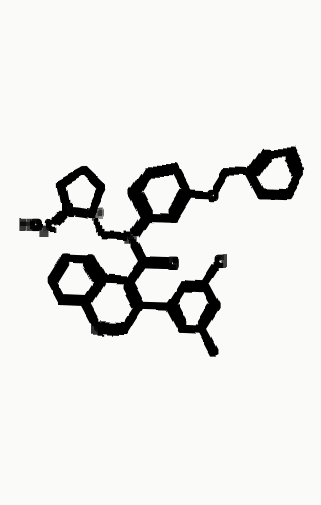 Cc1cc(Cl)cc(-c2cnc3ccccc3c2C(=O)N(C[C@H]2CCCN2C(=O)O)c2cccc(OCc3ccccc3)c2)c1